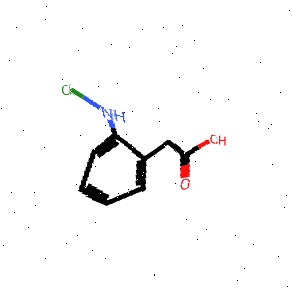 O=C(O)Cc1ccccc1NCl